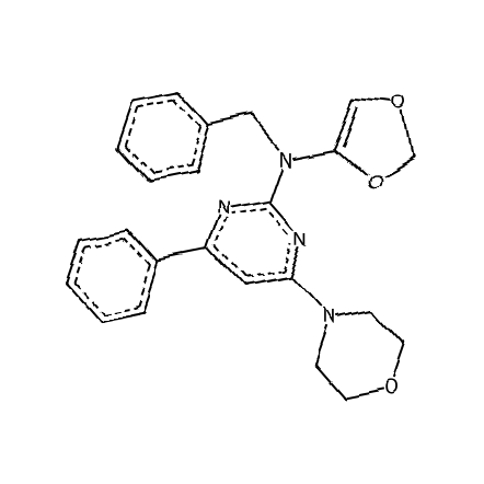 C1=C(N(Cc2ccccc2)c2nc(-c3ccccc3)cc(N3CCOCC3)n2)OCO1